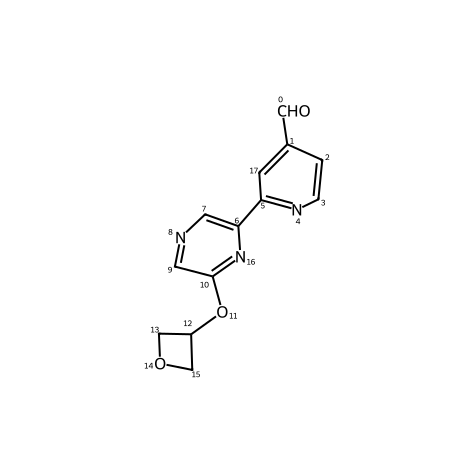 O=Cc1ccnc(-c2cncc(OC3COC3)n2)c1